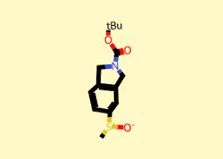 C[S+]([O-])c1ccc2c(c1)CN(C(=O)OC(C)(C)C)C2